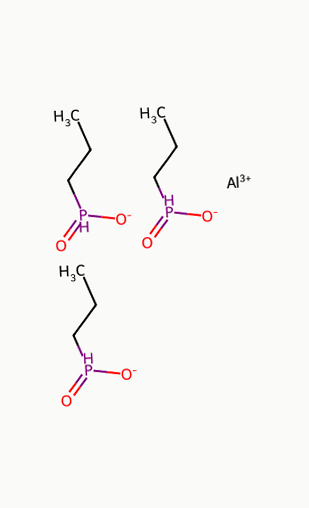 CCC[PH](=O)[O-].CCC[PH](=O)[O-].CCC[PH](=O)[O-].[Al+3]